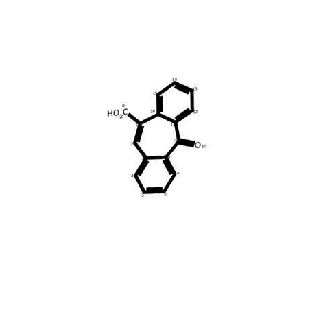 O=C(O)c1cc2ccccc2c(=O)c2ccccc12